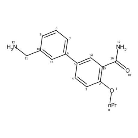 CCCOc1ccc(-c2cccc(CN)c2)cc1C(N)=O